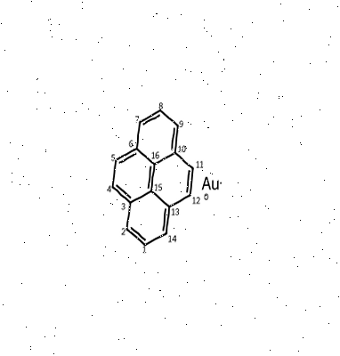 [Au].c1cc2ccc3cccc4ccc(c1)c2c34